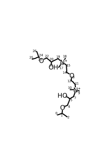 CC(C)OCC(O)C[N+](C)(C)CCOCC[N+](C)(C)CC(O)COC(C)C